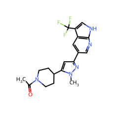 CC(=O)N1CCC(c2cc(-c3cnc4[nH]cc(C(F)(F)F)c4c3)nn2C)CC1